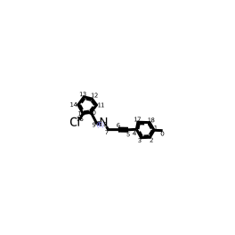 Cc1ccc(C#CC/N=C/c2ccccc2Cl)cc1